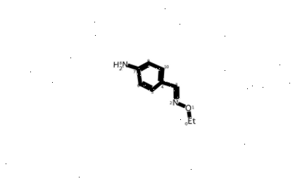 CCON=Cc1ccc(N)cc1